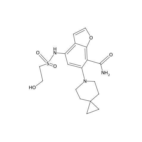 NC(=O)c1c(N2CCC3(CC2)CC3)cc(NS(=O)(=O)CCO)c2ccoc12